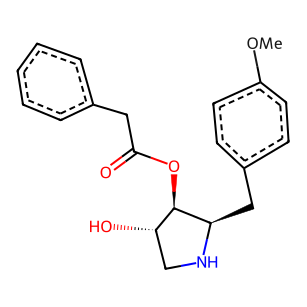 COc1ccc(C[C@H]2NC[C@H](O)[C@H]2OC(=O)Cc2ccccc2)cc1